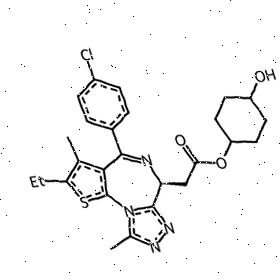 CCc1sc2c(c1C)C(c1ccc(Cl)cc1)=N[C@@H](CC(=O)OC1CCC(O)CC1)c1nnc(C)n1-2